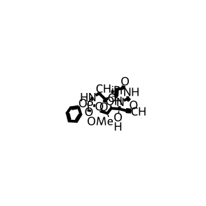 C#C[C@@](O)([C@H](O)[C@@H](COP(=O)(N[C@@H](C)C(=O)OC(C)C)Oc1ccccc1)OC)n1ccc(=O)[nH]c1=O